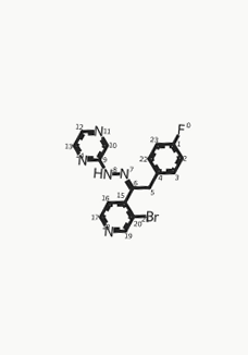 Fc1ccc(CC(=NNc2cnccn2)c2ccncc2Br)cc1